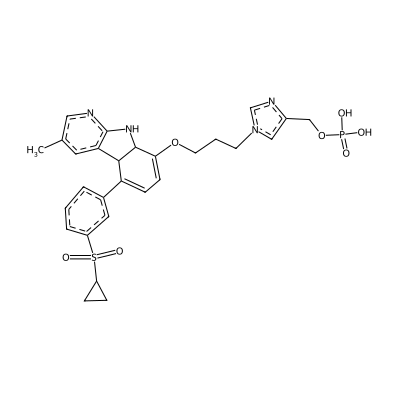 Cc1cnc2c(c1)C1C(c3cccc(S(=O)(=O)C4CC4)c3)=CC=C(OCCCn3cnc(COP(=O)(O)O)c3)C1N2